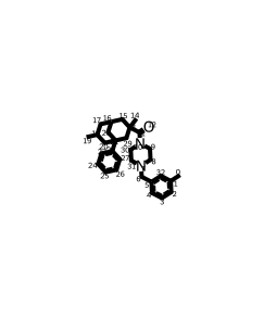 Cc1cccc(CN2CCN(C(=O)C3(C)CC4CC(C)CC(c5ccccc5)(C4)C3)CC2)c1